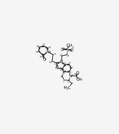 CCC1CCc2c(ccc3c2nc(CCn2ccccc2=O)n3CCS(C)(=O)=O)N1C(=O)O